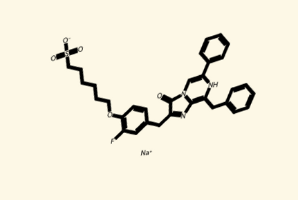 O=c1c(Cc2ccc(OCCCCCCS(=O)(=O)[O-])c(F)c2)nc2c(Cc3ccccc3)[nH]c(-c3ccccc3)cn1-2.[Na+]